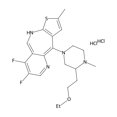 CCOCCC1CN(C2=c3ncc(F)c(F)c3=CNc3sc(C)cc32)CCN1C.Cl.Cl